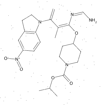 C=C(/C(C)=C(\N=C/N)OC1CCN(C(=O)OC(C)C)CC1)N1CCc2cc([N+](=O)[O-])ccc21